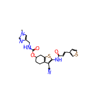 Cn1cnc(CNC(=O)OC2CCc3c(sc(NC(=O)C=Cc4ccsc4)c3C#N)C2)c1